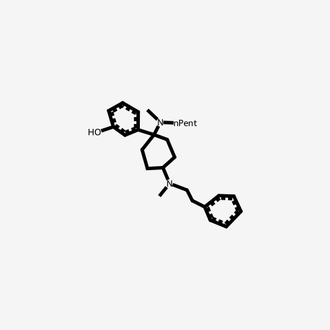 CCCCCN(C)C1(c2cccc(O)c2)CCC(N(C)CCc2ccccc2)CC1